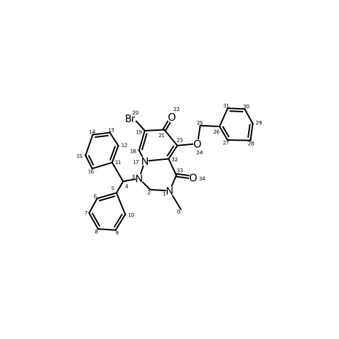 CN1CN(C(c2ccccc2)c2ccccc2)n2cc(Br)c(=O)c(OCc3ccccc3)c2C1=O